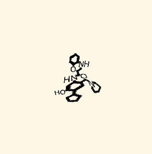 O=C(Nc1cc(O)c(C2CCCC2)cc1CN1CCCCC1)C1CNc2ccccc2O1